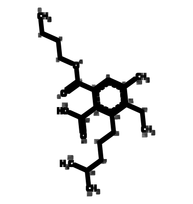 CCCCOC(=O)c1cc(C)c(CC)c(CCCC(C)C)c1C(=O)O